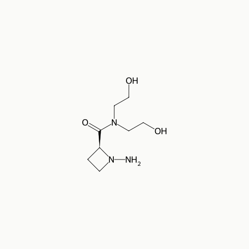 NN1CC[C@H]1C(=O)N(CCO)CCO